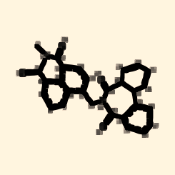 CN1C(=O)c2cccc3c(CN4C(=O)c5ccccc5C5C=CC=CC5C4=O)ccc(c23)C1=O